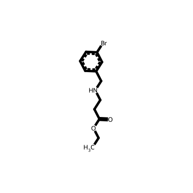 CCOC(=O)CCNCc1cccc(Br)c1